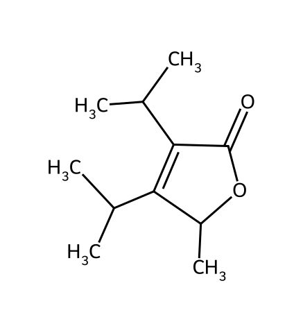 CC(C)C1=C(C(C)C)C(C)OC1=O